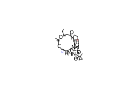 CC[C@H]1CC(=O)N2CCC[C@H]2C(=O)N[C@]2(C(=O)NS(=O)(=O)C3(C)CC3)C[C@H]2/C=C\CC[C@@H](C)O1